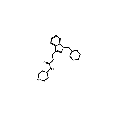 O=C(CCc1cn(CC2CCCCC2)c2ccccc12)NC1CCNCC1